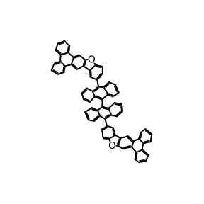 c1ccc2c(-c3c4ccccc4c(-c4ccc5oc6cc7c8ccccc8c8ccccc8c7cc6c5c4)c4ccccc34)c3ccccc3c(-c3ccc4oc5cc6c7ccccc7c7ccccc7c6cc5c4c3)c2c1